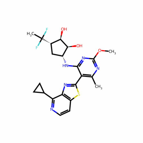 COc1nc(C)c(-c2nc3c(C4CC4)nccc3s2)c(N[C@@H]2C[C@H](C(C)(F)F)[C@@H](O)[C@H]2O)n1